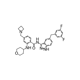 O=C(Nc1n[nH]c2ccc(Cc3cc(F)cc(F)c3)cc12)c1ccc(CN2CCC2)cc1NC1CCOCC1